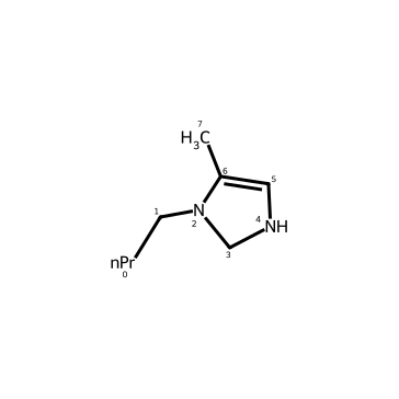 CCCCN1CNC=C1C